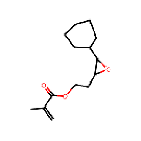 C=C(C)C(=O)OCCC1OC1C1CCCCC1